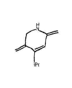 C=C1C=C(C(C)C)C(=C)CN1